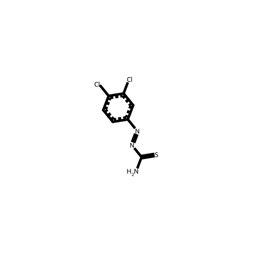 NC(=S)N=Nc1ccc(Cl)c(Cl)c1